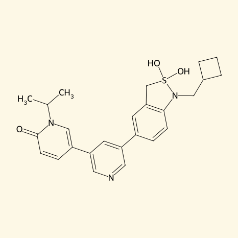 CC(C)n1cc(-c2cncc(-c3ccc4c(c3)CS(O)(O)N4CC3CCC3)c2)ccc1=O